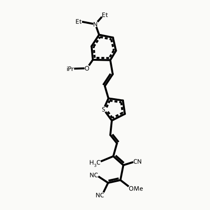 CCN(CC)c1ccc(/C=C/c2ccc(/C=C/C(C)=C(\C#N)C(OC)=C(C#N)C#N)s2)c(OC(C)C)c1